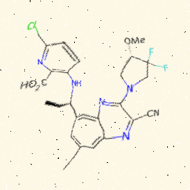 CO[C@H]1CN(c2nc3c([C@@H](C)Nc4ccc(Cl)nc4C(=O)O)cc(C)cc3nc2C#N)CC1(F)F